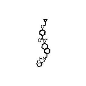 CN(C(=O)c1ccc(OCC2CC2)cc1)[C@H]1CCc2cc(CNC[C@H]3CCCO3)ccc2C1